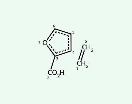 C=C.O=C(O)c1ccco1